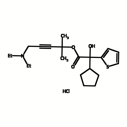 CCN(CC)CC#CC(C)(C)OC(=O)C(O)(c1cccs1)C1CCCC1.Cl